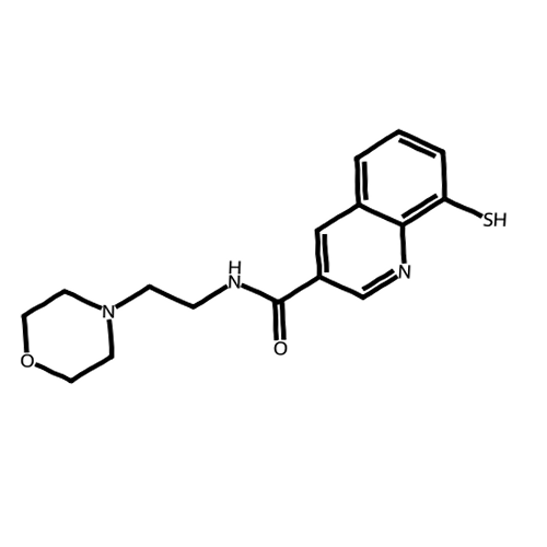 O=C(NCCN1CCOCC1)c1cnc2c(S)cccc2c1